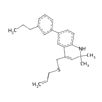 C=CCSCC1=CC(C)(C)Nc2ccc(-c3cccc(CCC)c3)cc21